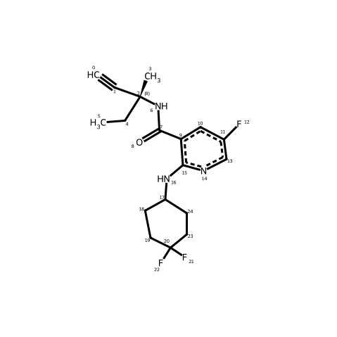 C#C[C@@](C)(CC)NC(=O)c1cc(F)cnc1NC1CCC(F)(F)CC1